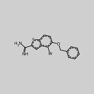 N=C(N)c1cc2c(Br)c(OCc3ccccc3)ccc2s1